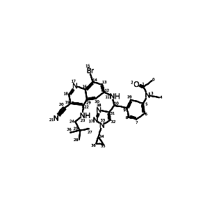 CC(=O)N(C)c1cccc(C(Nc2cc(Br)c3ncc(C#N)c(NCC(C)(C)C)c3c2)c2cn(C3CC3)nn2)c1